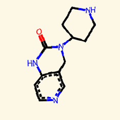 O=C1Nc2ccncc2CN1C1CCNCC1